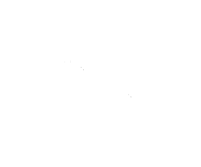 CC(C)(C)N1C[C@@H]2[C@@H](N)[C@@H]2C1